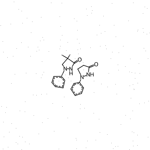 CC1(C)CN(c2ccccc2)NC1=O.O=C1CCN(c2ccccc2)N1